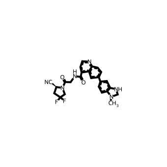 CN1CNc2cc(-c3ccc4nccc(C(=O)NCC(=O)N5CC(F)(F)C[C@H]5C#N)c4c3)ccc21